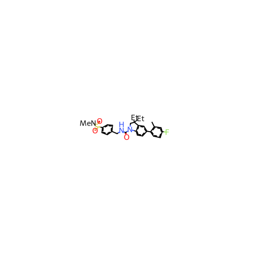 CCC1(CC)CN(C(=O)NCc2ccc(S(=O)(=O)NC)cc2)c2ccc(-c3ccc(F)cc3C)cc21